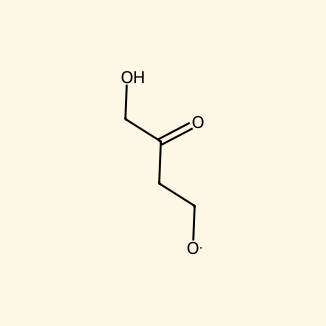 [O]CCC(=O)CO